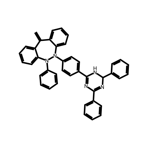 C=C1c2ccccc2N(c2ccccc2)N(c2ccc(C3=NC(c4ccccc4)=NC(c4ccccc4)N3)cc2)c2ccccc21